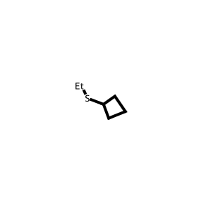 CCS[C]1CCC1